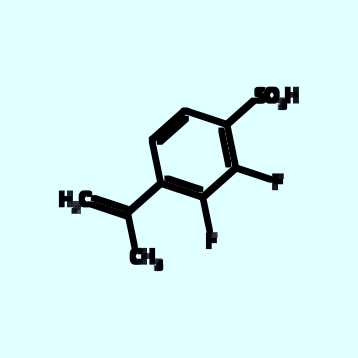 C=C(C)c1ccc(S(=O)(=O)O)c(F)c1F